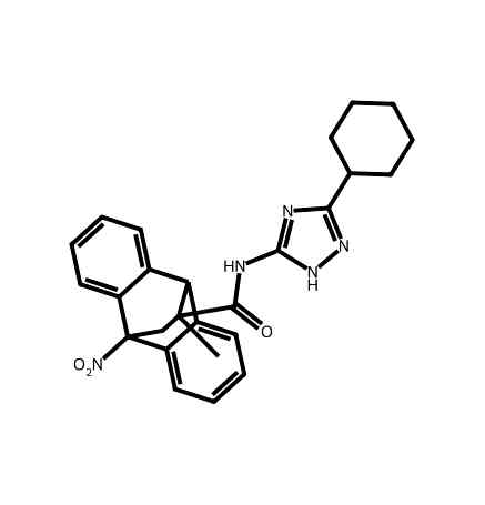 CC1(C(=O)Nc2nc(C3CCCCC3)n[nH]2)CC2([N+](=O)[O-])c3ccccc3C1c1ccccc12